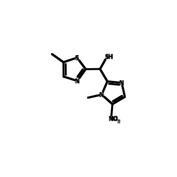 Cc1cnc(C(S)c2ncc([N+](=O)[O-])n2C)s1